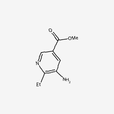 CCc1ncc(C(=O)OC)cc1N